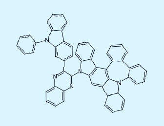 C1=CC2c3cc4c(c5c3N(c3ccccc3-c3ccccc3-5)C2C=C1)c1ccccc1n4-c1nc2ccccc2nc1-c1ccc2c3ccccc3n(-c3ccccc3)c2c1